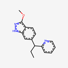 CCC(c1ccc2c(OC)n[nH]c2c1)c1ccccn1